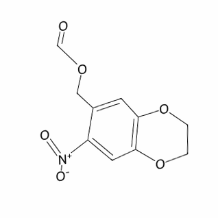 O=COCc1cc2c(cc1[N+](=O)[O-])OCCO2